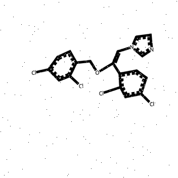 Clc1ccc(COC(=Cn2ccnc2)c2ccc(Cl)cc2Cl)c(Cl)c1